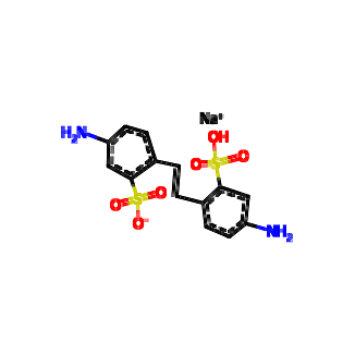 Nc1ccc(C=Cc2ccc(N)cc2S(=O)(=O)O)c(S(=O)(=O)[O-])c1.[Na+]